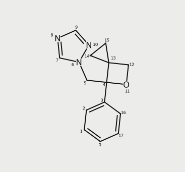 c1ccc(C2(Cn3cncn3)OCC23CC3)cc1